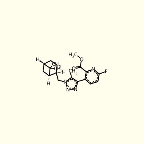 COC(=O)c1nc(F)ccc1-c1nnn(C[C@@H]2CC[C@H]3C[C@H]2C3(C)C)c1C